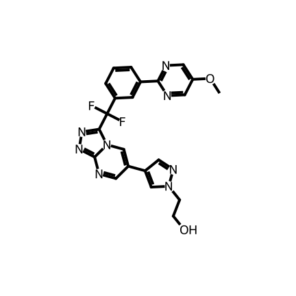 COc1cnc(-c2cccc(C(F)(F)c3nnc4ncc(-c5cnn(CCO)c5)cn34)c2)nc1